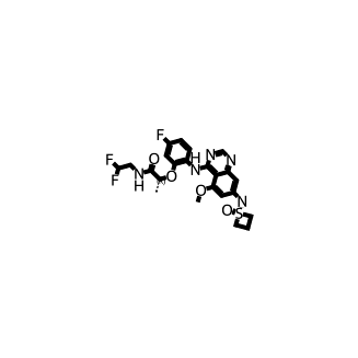 COc1cc(N=S2(=O)CCC2)cc2ncnc(Nc3ccc(F)cc3O[C@H](C)C(=O)NCC(F)F)c12